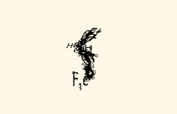 CCS(=O)(=O)c1ccc([C@H](CO)NC(=O)c2ccc3c(OC[C@H]4CC[C@H](C(F)(F)F)CC4)nc(C)cc3c2)nc1